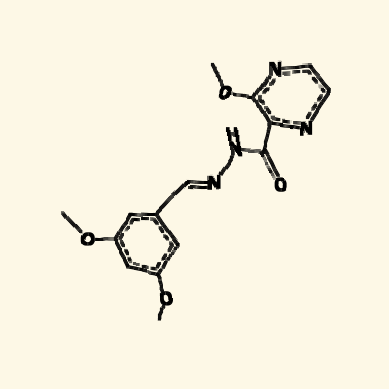 COc1cc(/C=N/NC(=O)c2nccnc2OC)cc(OC)c1